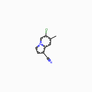 Cc1cc2c(C#N)ccn2cc1Cl